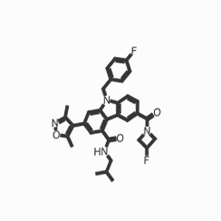 Cc1noc(C)c1-c1cc(C(=O)NCC(C)C)c2c3cc(C(=O)N4CC(F)C4)ccc3n(Cc3ccc(F)cc3)c2c1